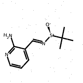 CC(C)(C)[S@+]([O-])/N=C/c1cccnc1N